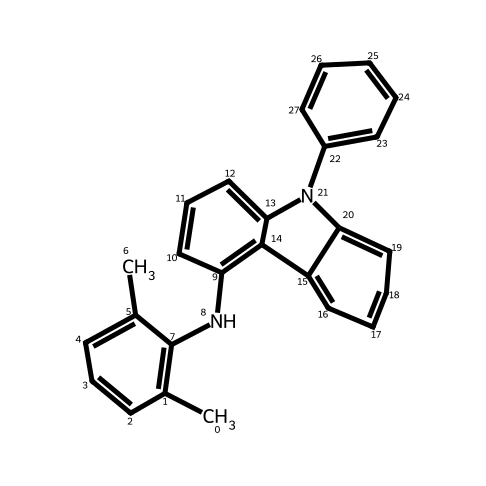 Cc1cccc(C)c1Nc1cccc2c1c1ccccc1n2-c1ccccc1